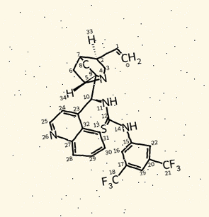 C=C[C@H]1CN2CCC1C[C@H]2[C@@H](NC(=S)Nc1cc(C(F)(F)F)cc(C(F)(F)F)c1)c1ccnc2ccccc12